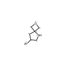 CC(C)C1CNC2(COC2)C1